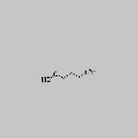 CC[CH]CCCOO